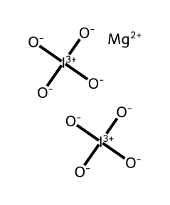 [Mg+2].[O-][I+3]([O-])([O-])[O-].[O-][I+3]([O-])([O-])[O-]